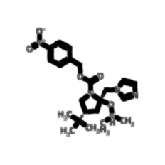 C[SiH](C)O[C@]1(Cn2ccnc2)C[C@H](C(C)(C)C)CN1C(=O)OCc1ccc([N+](=O)[O-])cc1